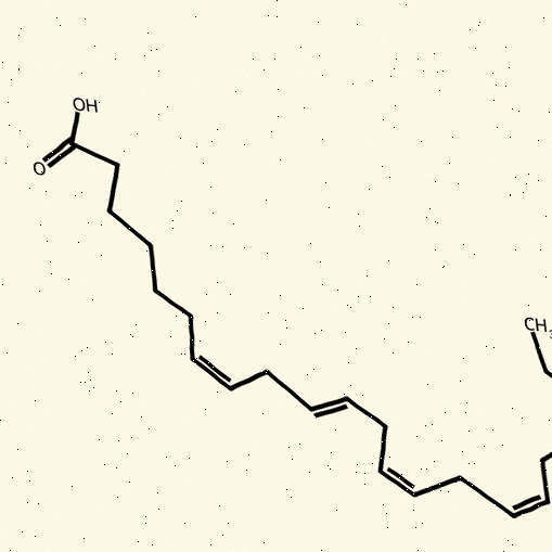 CC/C=C\C/C=C\C/C=C\C/C=C/C/C=C\CCCCCC(=O)O